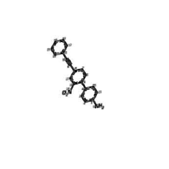 Nc1ccc(-c2ccc(C#Cc3ccccc3)cc2[N+](=O)[O-])cc1